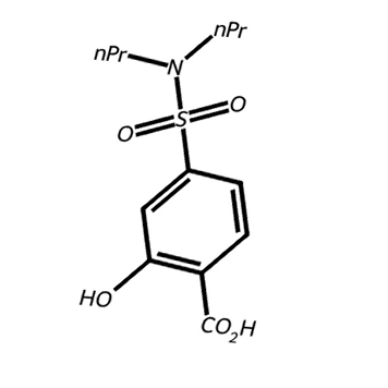 CCCN(CCC)S(=O)(=O)c1ccc(C(=O)O)c(O)c1